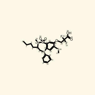 CCCCC1CN(c2ccccc2)c2cc(SC)c(OCC(F)(F)C(=O)O)cc2S(=O)(=O)N1C